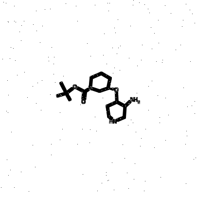 CC(C)(C)OC(=O)N1CCC[C@@H](OC2CCNCC2N)C1